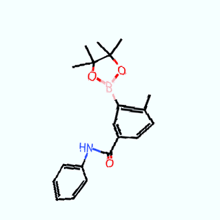 Cc1ccc(C(=O)Nc2ccccc2)cc1B1OC(C)(C)C(C)(C)O1